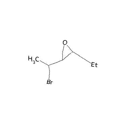 CCC1OC1C(C)Br